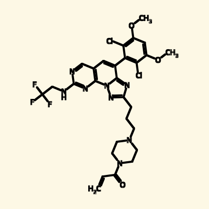 C=CC(=O)N1CCN(CCCc2nc3c(-c4c(Cl)c(OC)cc(OC)c4Cl)cc4cnc(NCC(F)(F)F)nc4n3n2)CC1